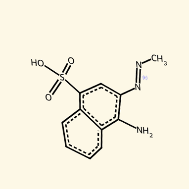 C/N=N/c1cc(S(=O)(=O)O)c2ccccc2c1N